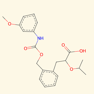 COc1cccc(NC(=O)OCc2ccccc2CC(OC(C)C)C(=O)O)c1